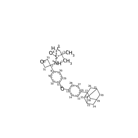 CC(C)(C)[S+]([O-])NC1(c2ccc(Oc3ccc(C45CC6CC(CC(C6)C4)C5)cc3)cc2)COC1